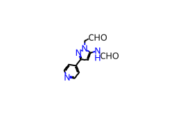 O=CCn1nc(-c2ccncc2)cc1NC=O